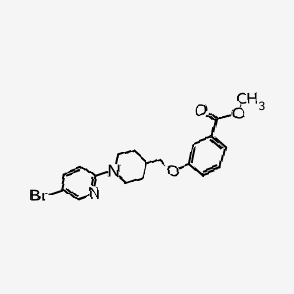 COC(=O)c1cccc(OCC2CCN(c3ccc(Br)cn3)CC2)c1